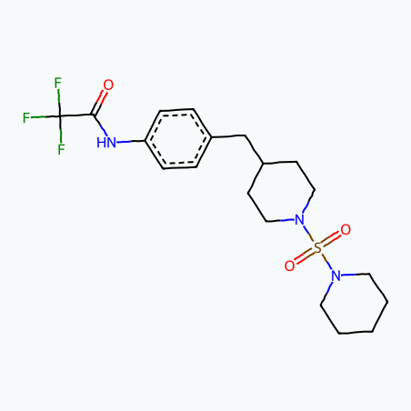 O=C(Nc1ccc(CC2CCN(S(=O)(=O)N3CCCCC3)CC2)cc1)C(F)(F)F